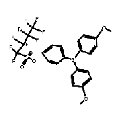 COc1ccc([S+](c2ccccc2)c2ccc(OC)cc2)cc1.O=S(=O)([O-])C(F)(F)C(F)(F)C(F)(F)C(F)(F)F